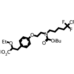 CCOC(Cc1ccc(OCCN(CCCCC(F)(F)C(F)(F)F)C(=O)OCC(C)C)cc1)C(=O)O